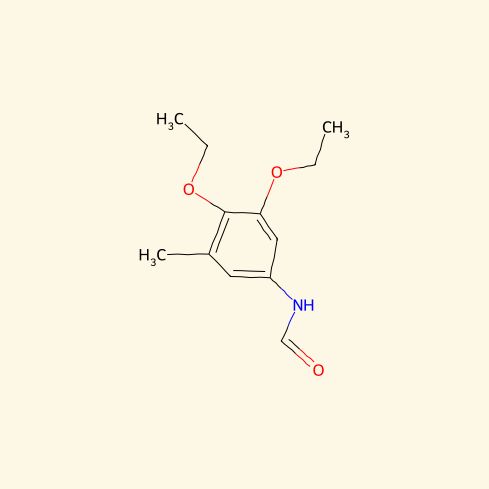 CCOc1cc(NC=O)cc(C)c1OCC